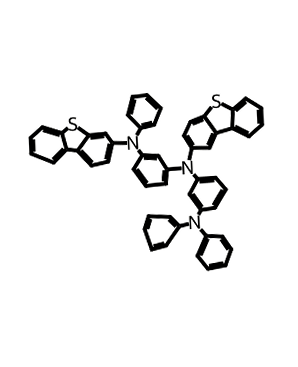 c1ccc(N(c2ccccc2)c2cccc(N(c3cccc(N(c4ccccc4)c4ccc5c(c4)sc4ccccc45)c3)c3ccc4sc5ccccc5c4c3)c2)cc1